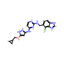 Clc1c(CNc2nccc(Nc3cc(OCC4CC4)[nH]n3)n2)ccc2[nH]cnc12